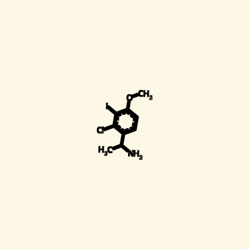 COc1ccc(C(C)N)c(Cl)c1I